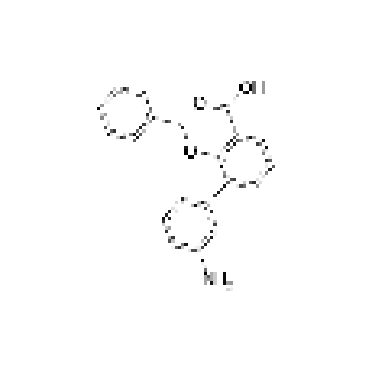 Nc1cccc(-c2cccc(C(=O)O)c2OCc2ccccc2)c1